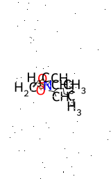 C=CS(=O)(=O)N(CC(C)CC(C)CC)C(C)(C)C